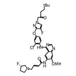 COc1cc2ncnc(Nc3ccc(Oc4nn(CC(=O)CCC(C)(C)C)cc4F)cc3Cl)c2cc1NC(=O)/C=C/CN1CC[C@H](F)C1